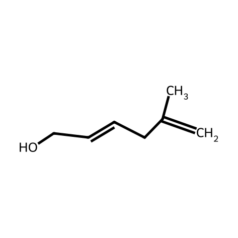 C=C(C)CC=CCO